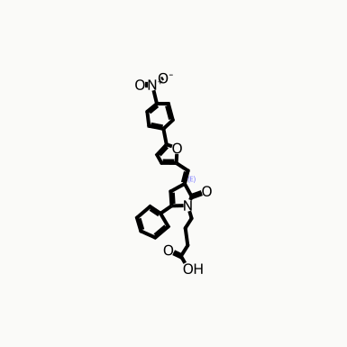 O=C(O)CCCN1C(=O)/C(=C/c2ccc(-c3ccc([N+](=O)[O-])cc3)o2)C=C1c1ccccc1